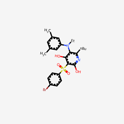 CCCCc1nc(O)c(S(=O)(=O)c2ccc(Br)cc2)c(O)c1N(CC)c1cc(C)cc(C)c1